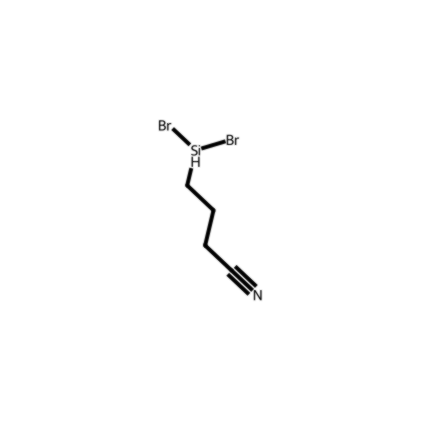 N#CCCC[SiH](Br)Br